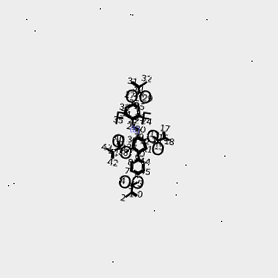 C=C(C)C(=O)Oc1ccc(-c2cc(OC(=O)C(=C)C)c(/C=C/c3c(F)cc(OC(=O)C(=C)C)cc3F)cc2OC(=O)C(=C)C)cc1